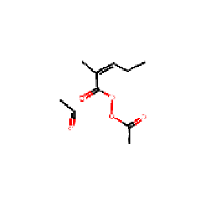 CC=O.CCC=C(C)C(=O)OOC(C)=O